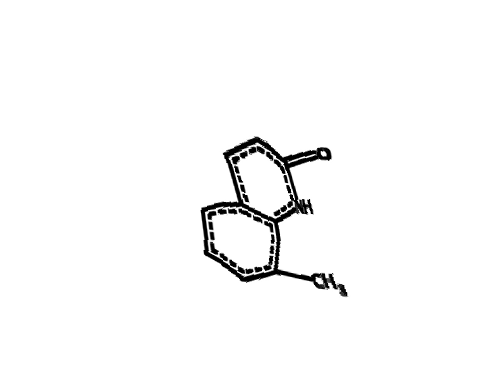 Cc1cccc2ccc(=O)[nH]c12